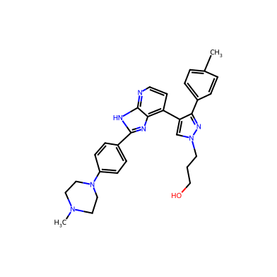 Cc1ccc(-c2nn(CCCO)cc2-c2ccnc3[nH]c(-c4ccc(N5CCN(C)CC5)cc4)nc23)cc1